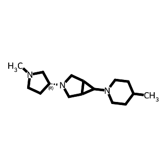 CC1CCN(C2C3CN([C@@H]4CCN(C)C4)CC32)CC1